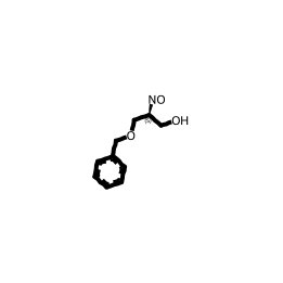 O=N[C@@H](CO)COCc1ccccc1